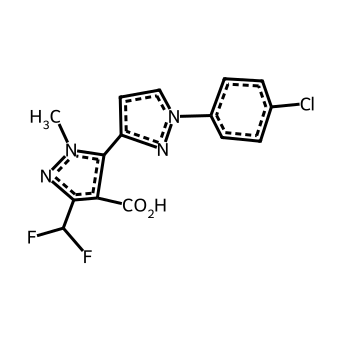 Cn1nc(C(F)F)c(C(=O)O)c1-c1ccn(-c2ccc(Cl)cc2)n1